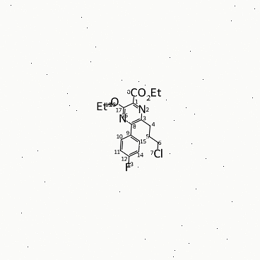 CCOC(=O)c1nc(CCCCl)c(-c2ccc(F)cc2)nc1OCC